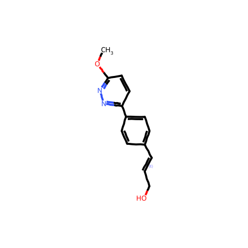 COc1ccc(-c2ccc(/C=C/CO)cc2)nn1